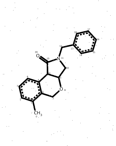 Cc1cccc2c1COC1CN(Cc3ccccc3)C(=O)C21